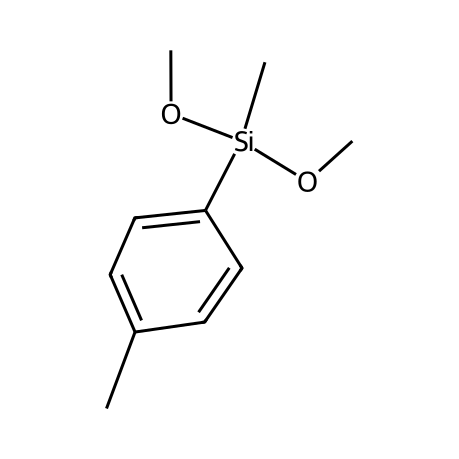 CO[Si](C)(OC)c1ccc(C)cc1